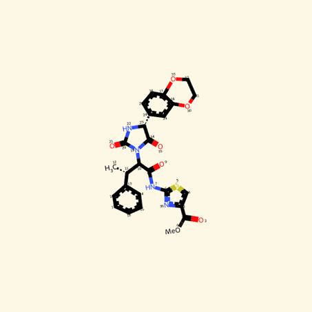 COC(=O)c1csc(NC(=O)C([C@@H](C)c2ccccc2)N2C(=O)N[C@H](c3ccc4c(c3)OCCO4)C2=O)n1